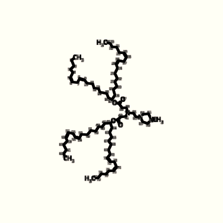 CCCCC/C=C\C/C=C\CCCCCCCC(CCCCCCC/C=C\C/C=C\CCCCC)OC(=O)CCN(CCC(=O)OC(CCCCCCC/C=C\C/C=C\CCCCC)CCCCCCC/C=C\C/C=C\CCCCC)CCN1CCN(C)CC1